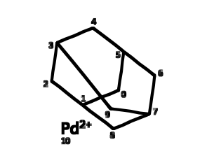 C1C2CC3CC1CC(C2)C3.[Pd+2]